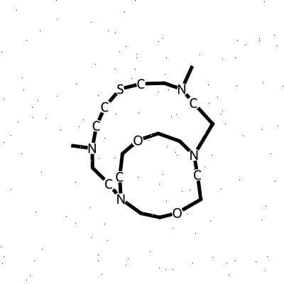 CN1CCSCCN(C)CCN2CCOCCN(CCOCC2)CC1